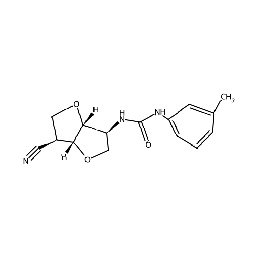 Cc1cccc(NC(=O)N[C@H]2CO[C@H]3[C@@H]2OC[C@@H]3C#N)c1